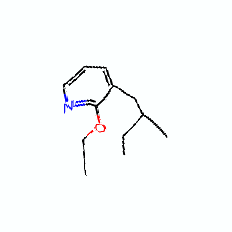 CCOc1ncccc1CC(C)CC